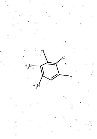 Cc1cc(N)c(N)c(Cl)c1Cl